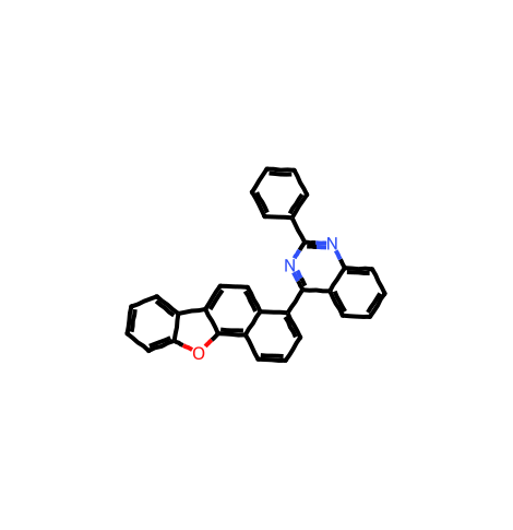 c1ccc(-c2nc(-c3cccc4c3ccc3c5ccccc5oc43)c3ccccc3n2)cc1